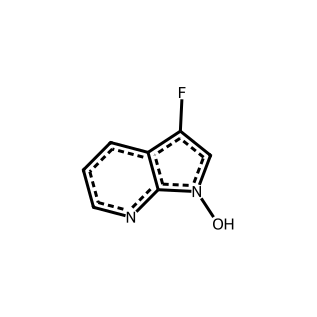 On1cc(F)c2cccnc21